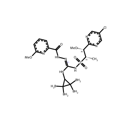 BC1(B)C(N/C(=N\NC(=O)c2cccc(OC)n2)NS(=O)(=O)[C@@H](C)[C@H](OC)c2ncc(Cl)cn2)C1(B)B